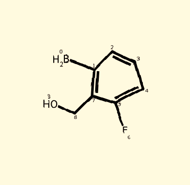 Bc1cccc(F)c1CO